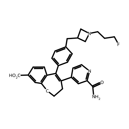 NC(=O)c1cc(C2=C(c3ccc(CC4CN(CCCF)C4)cc3)c3ccc(C(=O)O)cc3CCC2)ccn1